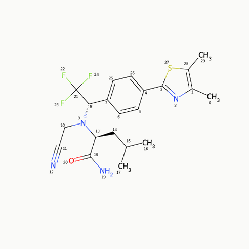 Cc1nc(-c2ccc([C@H](N(CC#N)[C@@H](CC(C)C)C(N)=O)C(F)(F)F)cc2)sc1C